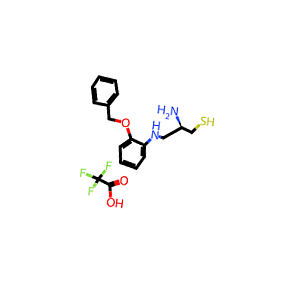 N[C@@H](CS)CNc1ccccc1OCc1ccccc1.O=C(O)C(F)(F)F